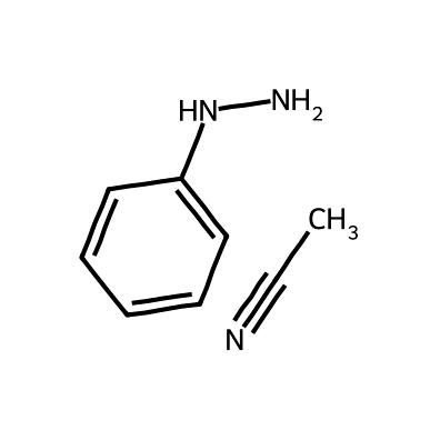 CC#N.NNc1ccccc1